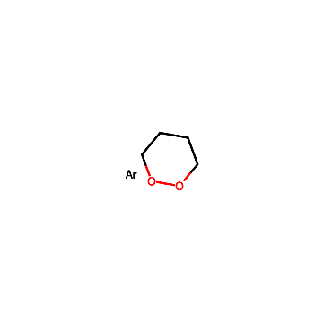 C1CCOOC1.[Ar]